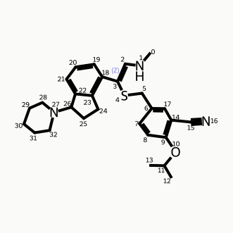 CN/C=C(\SCc1ccc(OC(C)C)c(C#N)c1)c1cccc2c1CCC2N1CCCCC1